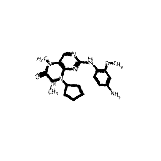 COc1cc(N)ccc1Nc1ncc2c(n1)N(C1CCCC1)[C@H](C)C(=O)N2C